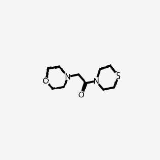 O=C(CN1CCOCC1)N1CCSCC1